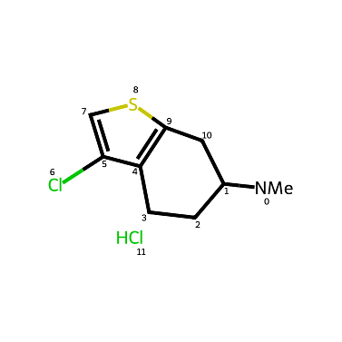 CNC1CCc2c(Cl)csc2C1.Cl